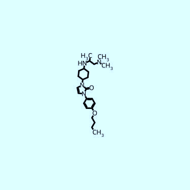 CCCCOc1ccc(-n2ccn(C3CCC(NC(C)CN(C)C)CC3)c2=O)cc1